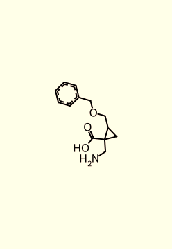 NCC1(C(=O)O)CC1COCc1ccccc1